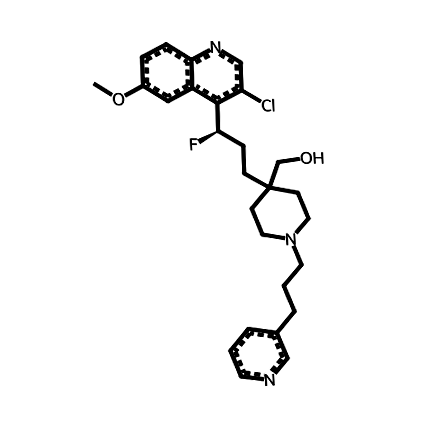 COc1ccc2ncc(Cl)c([C@H](F)CCC3(CO)CCN(CCCc4cccnc4)CC3)c2c1